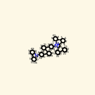 c1ccc(-c2ccccc2-c2cc(-c3ccccc3-c3ccccc3)n(-c3ccc(-c4ccccc4-c4ccccc4-c4ccc(-n5c6ccccc6c6ccccc65)cc4)cc3)n2)cc1